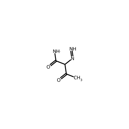 CC(=O)C(N=N)C([NH])=O